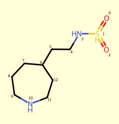 O=[SH](=O)NCCC1CCCNCC1